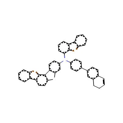 C1=Cc2ccc(-c3ccc(N(c4ccc5c(c4)[SiH2]c4ccc6c(sc7ccccc76)c4-5)c4cccc5c4sc4ccccc45)cc3)cc2CC1